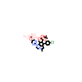 BC(B)(B)Oc1cnc(N2CCn3c(C)cc4c(-c5ccc(Cl)cc5)c([C@H](OC(C)(C)C)C(=O)O)c(C)c2c43)nc1